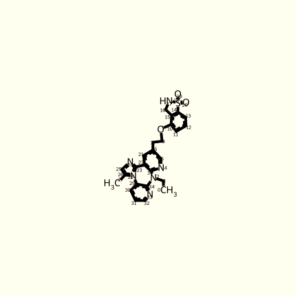 CCN1c2ncc(CCOc3cccc4c3CNS4(=O)=O)cc2-c2ncc(C)n2-c2cccnc21